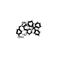 CCOC(=O)c1nnn(Cc2ccc(OC)cc2)c1/C=C1\CN(C(c2ccccc2)(c2ccccc2)c2ccccc2)CCC1O